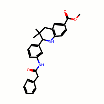 COC(=O)c1ccc2c(c1)CC(C)(C)C(c1cccc(NC(=O)Cc3ccccc3)c1)N2